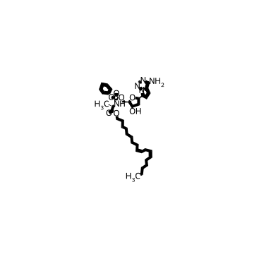 CCCCC/C=C\C/C=C\CCCCCCCCOC(=O)[C@H](C)NP(=O)(OC[C@H]1O[C@@H](c2ccc3c(N)ncnn23)C[C@@H]1O)Oc1ccccc1